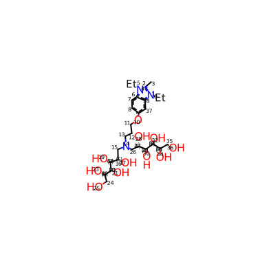 CCn1c(C)[n+](CC)c2ccc(OCCCN(C[C@H](O)[C@@H](O)[C@H](O)[C@H](O)CO)C[C@H](O)[C@@H](O)[C@H](O)[C@H](O)CO)cc21